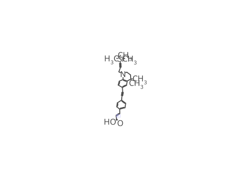 CC1(C)CCN(CC#C[Si](C)(C)C)c2ccc(C#Cc3ccc(/C=C/C(=O)O)cc3)cc21